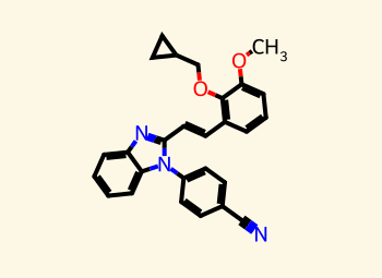 COc1cccc(/C=C/c2nc3ccccc3n2-c2ccc(C#N)cc2)c1OCC1CC1